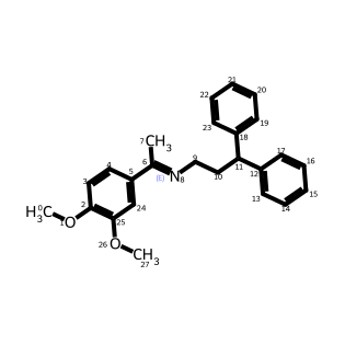 COc1ccc(/C(C)=N/CCC(c2ccccc2)c2ccccc2)cc1OC